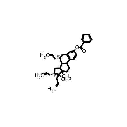 C=CC[C@@H]1CC2C3C(CC[C@]2(C)[C@]1(O)CC=C)c1ccc(OC(=O)c2ccccc2)cc1C[C@H]3CCC